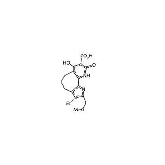 CCn1c(COC)nc2c1CCCc1c-2[nH]c(=O)c(C(=O)O)c1O